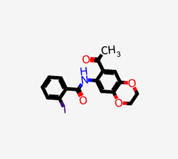 CC(=O)c1cc2c(cc1NC(=O)c1ccccc1I)OCCO2